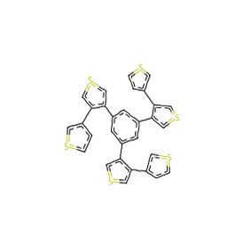 c1cc(-c2cscc2-c2cc(-c3cscc3-c3ccsc3)cc(-c3cscc3-c3ccsc3)c2)cs1